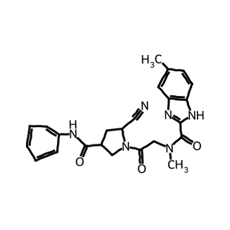 Cc1ccc2[nH]c(C(=O)N(C)CC(=O)N3CC(C(=O)Nc4ccccc4)CC3C#N)nc2c1